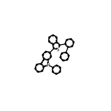 c1ccc(-c2ccccc2-c2sc(-c3ccc4c5ccccc5n(-c5ccccc5)c4c3)c3ccccc23)cc1